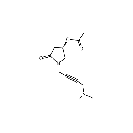 CC(=O)O[C@@H]1CC(=O)N(CC#CCN(C)C)C1